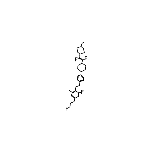 CCC1CCC(/C(F)=C(\F)C2CCC(c3ccc(CCc4c(C)cc(CCCF)cc4F)cc3)CC2)CC1